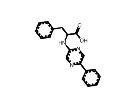 O=C(O)C(Cc1ccccc1)Nc1cnc(-c2ccccc2)cn1